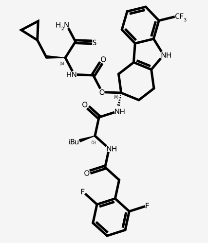 CCC(C)[C@H](NC(=O)Cc1c(F)cccc1F)C(=O)N[C@@]1(OC(=O)N[C@@H](CC2CC2)C(N)=S)CCc2[nH]c3c(C(F)(F)F)cccc3c2C1